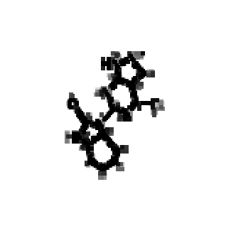 CCc1nc(-n2c(=O)[nH]c3ccccc32)nc2[nH]ncc12